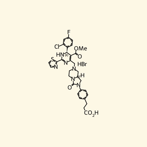 Br.COC(=O)C1=C(CN2CCN3C(=O)N(c4ccc(CCC(=O)O)cc4)C[C@@H]3C2)N=C(c2nccs2)N[C@H]1c1ccc(F)cc1Cl